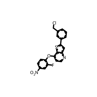 O=[N+]([O-])c1ccc(Oc2ccnc3cc(-c4cccc(CCl)c4)sc23)c(F)c1